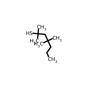 CCCC(C)(C)CC(C)(C)S